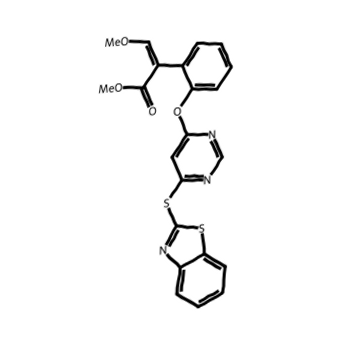 COC=C(C(=O)OC)c1ccccc1Oc1cc(Sc2nc3ccccc3s2)ncn1